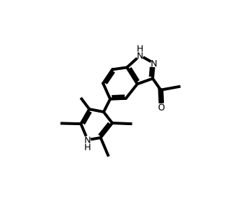 CC(=O)c1n[nH]c2ccc(C3C(C)=C(C)NC(C)=C3C)cc12